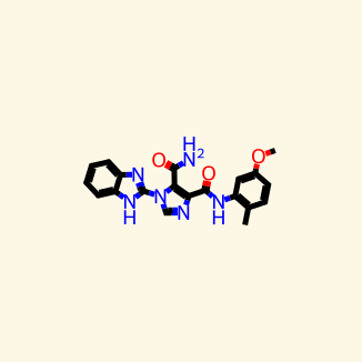 COc1ccc(C)c(NC(=O)c2ncn(-c3nc4ccccc4[nH]3)c2C(N)=O)c1